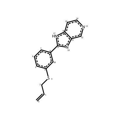 C=CCSc1cccc(-c2nc3cnccc3[nH]2)c1